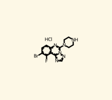 Cl.Fc1c(Br)ccc2nc(N3CCNCC3)n3ncnc3c12